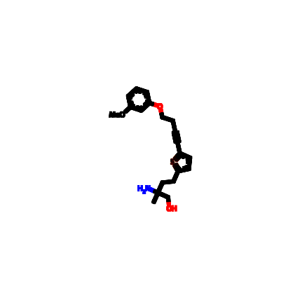 COc1cccc(OCCC#Cc2ccc(CCC(C)(N)CO)s2)c1